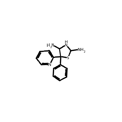 NC1NC(N)C(c2ccccc2)(c2ccccn2)S1